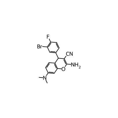 CN(C)c1ccc2c(c1)OC(N)=C(C#N)C2c1ccc(F)c(Br)c1